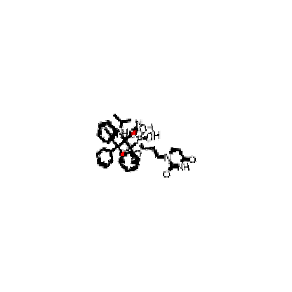 COC(OC)(C(C#N)(N(C(C)C)C(C)C)C(c1ccccc1)(c1ccccc1)c1ccccc1)P(O)(O)(O)CCCn1ccc(=O)[nH]c1=O